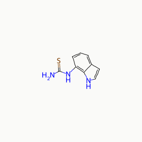 NC(=S)Nc1cccc2cc[nH]c12